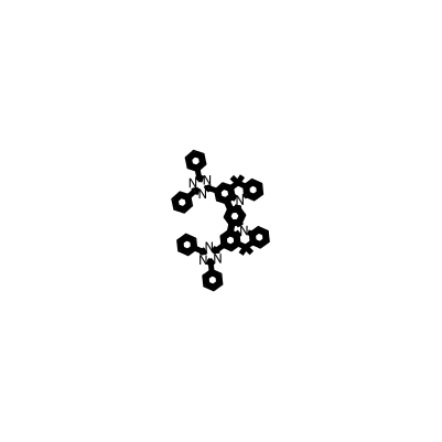 CC1(C)c2ccccc2-n2c3cc4c(cc3c3cc(-c5nc(-c6ccccc6)nc(-c6ccccc6)n5)cc1c32)c1cc(-c2nc(-c3ccccc3)nc(-c3ccccc3)n2)cc2c1n4-c1ccccc1C2(C)C